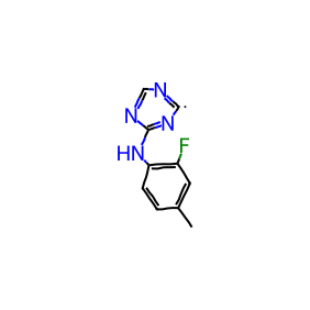 Cc1ccc(Nc2n[c]ncn2)c(F)c1